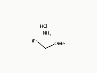 COCC(C)C.Cl.N